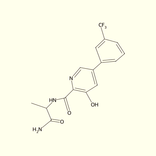 CC(NC(=O)c1ncc(-c2cccc(C(F)(F)F)c2)cc1O)C(N)=O